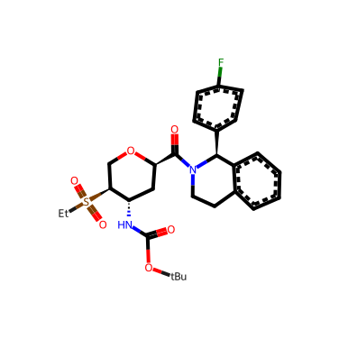 CCS(=O)(=O)[C@H]1CO[C@@H](C(=O)N2CCc3ccccc3[C@@H]2c2ccc(F)cc2)C[C@@H]1NC(=O)OC(C)(C)C